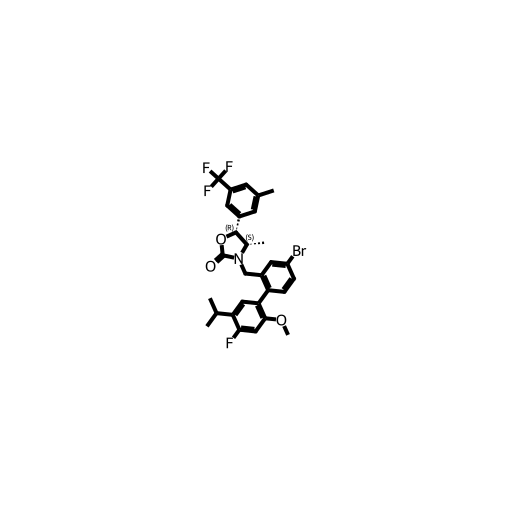 COc1cc(F)c(C(C)C)cc1-c1ccc(Br)cc1CN1C(=O)O[C@H](c2cc(C)cc(C(F)(F)F)c2)[C@@H]1C